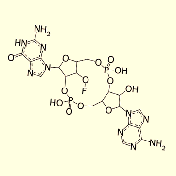 Nc1nc2c(ncn2C2OC3COP(=O)(O)OC4C(COP(=O)(O)OC2C3OF)OC(n2cnc3c(N)ncnc32)C4O)c(=O)[nH]1